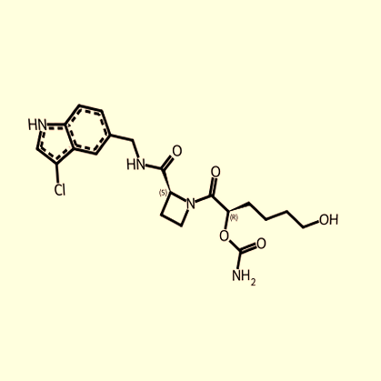 NC(=O)O[C@H](CCCCO)C(=O)N1CC[C@H]1C(=O)NCc1ccc2[nH]cc(Cl)c2c1